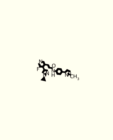 Cn1ccc(-c2ccc(NC(=O)/C=C/c3cncc(F)c3-c3cnn(C4CC4)c3)cc2)n1